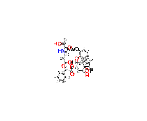 COc1ccc2c3c1O[C@H]1C(OC(=O)[C@@H](OC(=O)CCNC(=O)C(C)O)c4ccccc4)=CC[C@@]4(O)[C@H](CCC[C@]314)C2